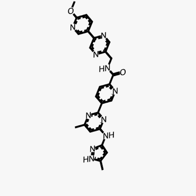 COc1ccc(-c2cnc(CNC(=O)c3ccc(-c4nc(C)cc(Nc5cc(C)[nH]n5)n4)cn3)cn2)cn1